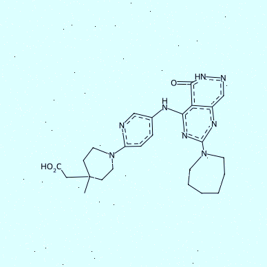 CC1(CC(=O)O)CCN(c2ccc(Nc3nc(N4CCCCCC4)nc4cn[nH]c(=O)c34)cn2)CC1